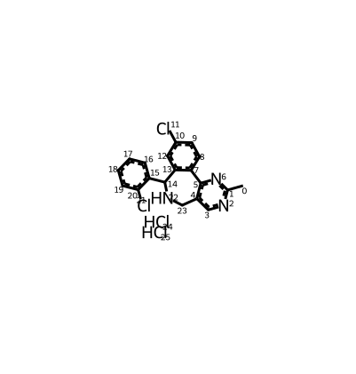 Cc1ncc2c(n1)-c1ccc(Cl)cc1C(c1ccccc1Cl)NC2.Cl.Cl